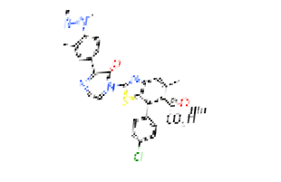 C=NN(C)c1ccc(-c2nccn(-c3nc4cc(C)c([C@H](OC(C)(C)C)C(=O)O)c(-c5ccc(Cl)cc5)c4s3)c2=O)cc1C